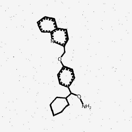 NOC(c1ccc(OCc2ccc3ccccc3n2)cc1)C1CCCCC1